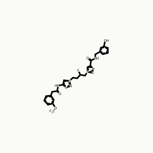 O=C(Cc1cccc(OC(F)(F)F)c1)Nc1cn(CCC(F)Cn2cc(C(=O)NCc3cccc(O)c3)nn2)nn1